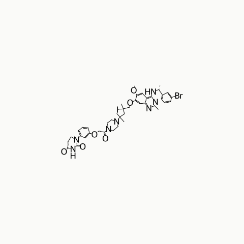 COc1cc2c(N[C@H](C)c3cccc(Br)c3)nc(C)nc2cc1OCC(C)(I)CC(C)(C)N1CCN(C(=O)COc2cccc(N3CCC(=O)NC3=O)c2)CC1